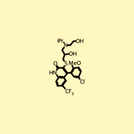 COc1ccc(Cl)cc1-c1c(SCC(O)CN(CCO)C(C)C)c(=O)[nH]c2ccc(C(F)(F)F)cc12